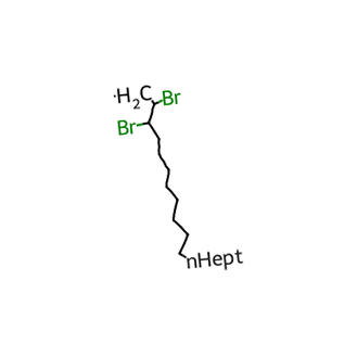 [CH2]C(Br)C(Br)CCCCCCCCCCCCCCC